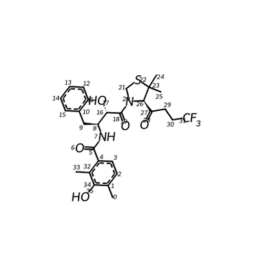 Cc1ccc(C(=O)N[C@@H](Cc2ccccc2)[C@H](O)C(=O)N2CSC(C)(C)[C@H]2C(=O)CCC(F)(F)F)c(C)c1O